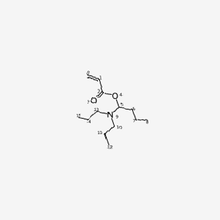 C=CC(=O)OC(CCC)N(CCC)CCC